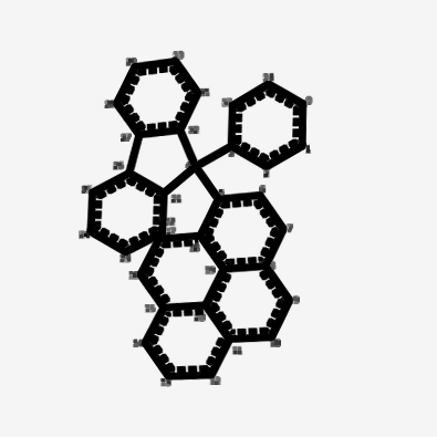 c1ccc(C2(c3ccc4ccc5cccc6ccc3c4c56)c3ccccc3-c3ccccc32)cc1